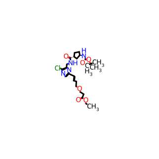 CCOC(=O)CCOCC/C=C/c1cnc(Cl)c(CNC(=O)[C@@H]2CC[C@@H](NC(=O)OC(C)(C)C)C2)n1